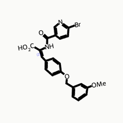 COc1cccc(COc2ccc(/C=C(\NC(=O)c3ccc(Br)nc3)C(=O)O)cc2)c1